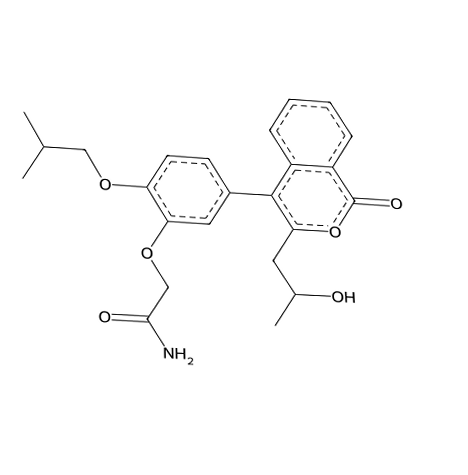 CC(C)COc1ccc(-c2c(CC(C)O)oc(=O)c3ccccc23)cc1OCC(N)=O